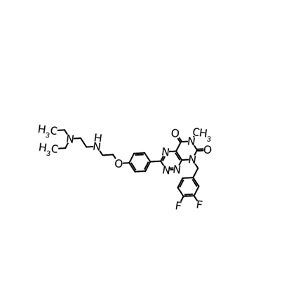 CCN(CC)CCNCCOc1ccc(-c2nnc3c(n2)c(=O)n(C)c(=O)n3Cc2ccc(F)c(F)c2)cc1